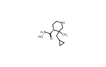 CC1(CC2CC2)CNCCN1C(N)=O.Cl